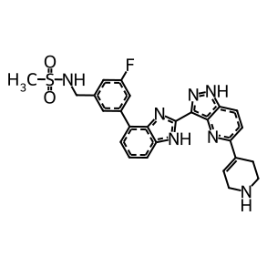 CS(=O)(=O)NCc1cc(F)cc(-c2cccc3[nH]c(-c4n[nH]c5ccc(C6=CCNCC6)nc45)nc23)c1